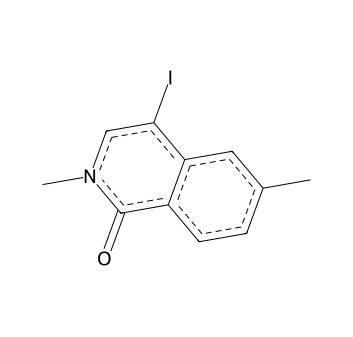 Cc1ccc2c(=O)n(C)cc(I)c2c1